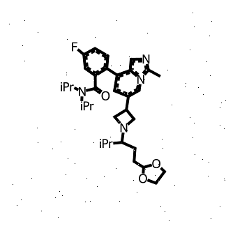 Cc1ncc2c(-c3ccc(F)cc3C(=O)N(C(C)C)C(C)C)cc(C3CN(C(CCC4OCCO4)C(C)C)C3)cn12